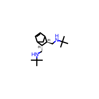 CC(C)(C)NC[C@@H]1C2C=CC(C2)[C@H]1CNC(C)(C)C